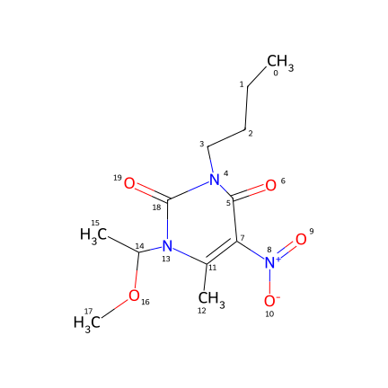 CCCCn1c(=O)c([N+](=O)[O-])c(C)n(C(C)OC)c1=O